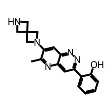 Cc1nc2cc(-c3ccccc3O)nnc2cc1N1CC2(CNC2)C1